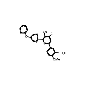 COc1ccc(-c2cc(Cl)c(C#N)c(-c3ccc(Oc4ccccc4)cc3)n2)cc1C(=O)O